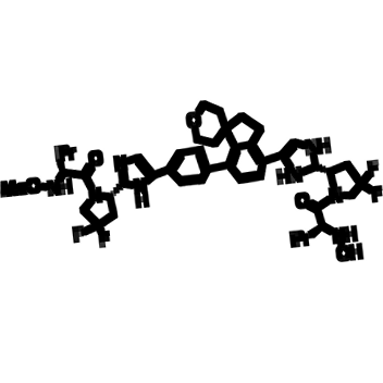 CON[C@H](C(=O)N1CC(F)(F)C[C@H]1c1ncc(-c2ccc(-c3ccc(C4=CNC([C@@H]5CC(F)(F)CN5C(=O)[C@@H](NO)C(C)C)N4)c4c3C3(CCOCC3)CC4)cc2)[nH]1)C(C)C